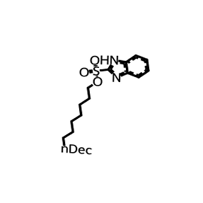 CCCCCCCCCCCCCCCCCOS(=O)(=O)c1nc2ccccc2[nH]1